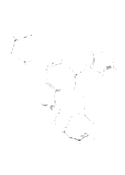 NS(=O)(=O)c1cc(C2CCCCC2)cc(-c2cocn2)c1Cc1ccccc1